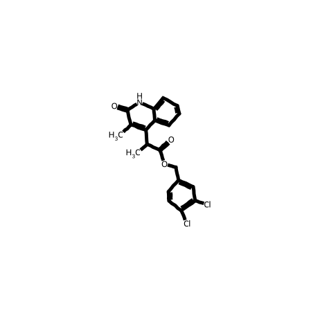 Cc1c(C(C)C(=O)OCc2ccc(Cl)c(Cl)c2)c2ccccc2[nH]c1=O